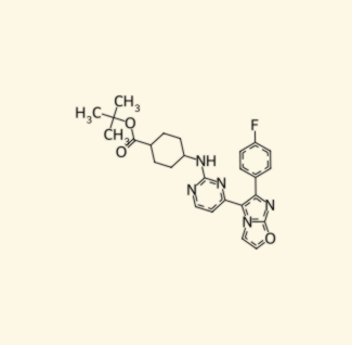 CC(C)(C)OC(=O)C1CCC(Nc2nccc(-c3c(-c4ccc(F)cc4)nc4occn34)n2)CC1